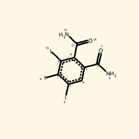 NC(=O)c1cc(I)c(I)c(I)c1C(N)=O